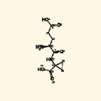 N[C@@H](CCC(=O)O)C(=O)NC1(C(=O)O)CC1